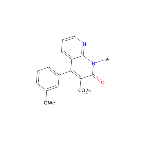 COc1cccc(-c2c(C(=O)O)c(=O)n(C(C)C)c3ncccc23)c1